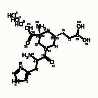 Cl.Cl.Cl.NC(Cc1c[nH]cn1)C(=O)N1C[C@@H](CCB(O)O)C[C@](N)(C(=O)O)C1